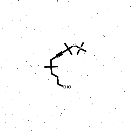 CC(C)(CC#CC(C)(C)O[Si](C)(C)C)CCCC=O